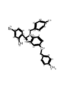 Cc1ccc(COc2ccc3c(c2)nc(-c2ccc(Br)cc2O)n3Cc2ccc(F)cc2)cc1